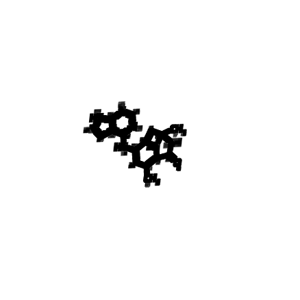 CC1=C2C(=O)NC3(C)C=C(C(Nc4ncnc5[nH]ncc45)=C1)N23